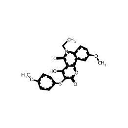 CCn1c(=O)c2c(O)c(Sc3ccc(OC)cc3)c(=O)oc2c2cc(OC)ccc21